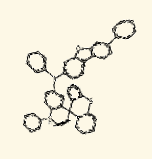 c1ccc(-c2ccc3c(c2)oc2cc(N(c4ccccc4)c4ccc5c(c4)C4(c6ccccc6Sc6ccccc64)c4ccccc4[SiH]5c4ccccc4)ccc23)cc1